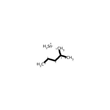 [CH2]CCC(C)C.[SnH2]